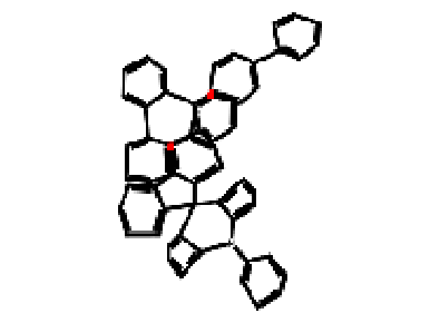 c1ccc(-c2ccc(N(c3ccc4c(c3)-c3ccccc3C43c4ccccc4N(c4ccccc4)c4ccccc43)c3ccccc3-c3ccccc3-c3ccccc3)cc2)cc1